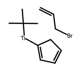 C=CCBr.C[C](C)(C)[Ti][C]1=CC=CC1